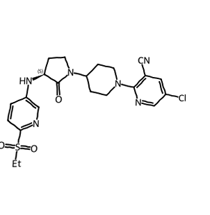 CCS(=O)(=O)c1ccc(N[C@H]2CCN(C3CCN(c4ncc(Cl)cc4C#N)CC3)C2=O)cn1